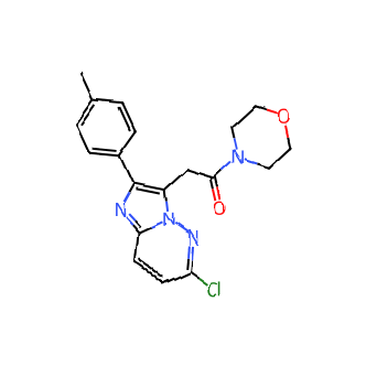 Cc1ccc(-c2nc3ccc(Cl)nn3c2CC(=O)N2CCOCC2)cc1